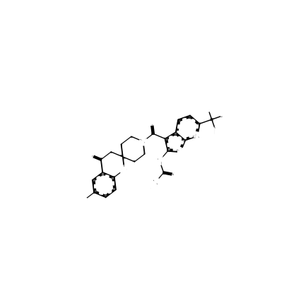 NC(=O)Nc1sc2nc(C(F)(F)F)ccc2c1C(=O)N1CCC2(CC1)CC(=O)c1cc(F)ccc1O2